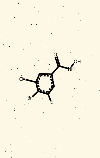 O=C(NO)c1cc(F)c(Br)c(Cl)c1